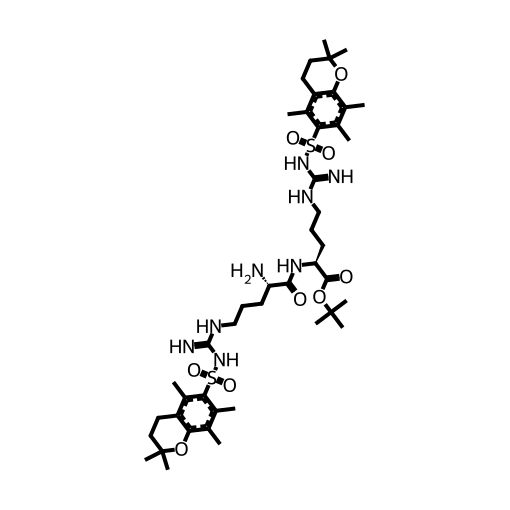 Cc1c(C)c(S(=O)(=O)NC(=N)NCCC[C@H](NC(=O)[C@@H](N)CCCNC(=N)NS(=O)(=O)c2c(C)c(C)c3c(c2C)CCC(C)(C)O3)C(=O)OC(C)(C)C)c(C)c2c1OC(C)(C)CC2